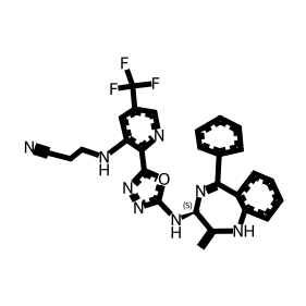 C=C1Nc2ccccc2C(c2ccccc2)=N[C@@H]1Nc1nnc(-c2ncc(C(F)(F)F)cc2NCCC#N)o1